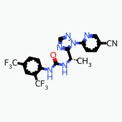 C[C@H](NC(=O)Nc1ccc(C(F)(F)F)cc1C(F)(F)F)c1ncnn1-c1ccc(C#N)cn1